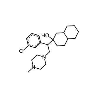 CN1CCN(CC(c2cccc(Cl)c2)C2(O)CCC3CCCCC3C2)CC1